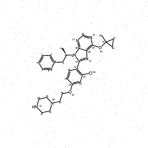 C[C@H](Cc1ccccn1)n1c(-c2ccc(OCCN3CCNCC3)cc2Cl)nc2c(OC3(C)CC3)ncnc21